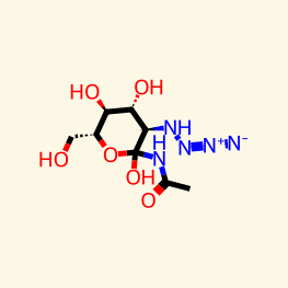 CC(=O)NC1(O)O[C@H](CO)[C@@H](O)[C@H](O)[C@H]1NN=[N+]=[N-]